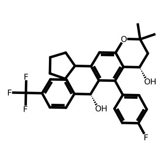 CC1(C)C[C@H](O)c2c(cc(C3CCCC3)c([C@H](O)c3ccc(C(F)(F)F)cc3)c2-c2ccc(F)cc2)O1